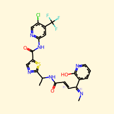 C/N=C(\C=C\C(=O)NC(C)c1ncc(C(=O)Nc2cc(C(F)(F)F)c(Cl)cn2)s1)c1cccnc1O